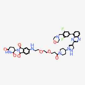 O=C1CCC(N2C(=O)c3ccc(NCCOCCOCCC(=O)N4CCC(N5C=C(c6cnc7cccc(-c8cc(F)c(CN9CCOCC9)c(F)c8)c7n6)CN5)CC4)cc3C2=O)C(=O)N1